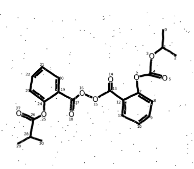 CC(C)OC(=O)Oc1ccccc1C(=O)OOC(=O)c1ccccc1OC(=O)C(C)C